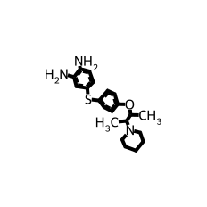 CC(Oc1ccc(Sc2ccc(N)c(N)c2)cc1)C(C)N1CCCCC1